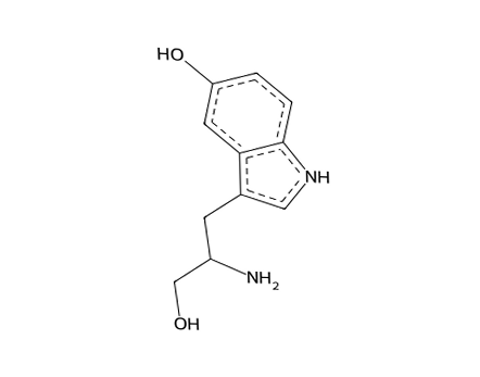 NC(CO)Cc1c[nH]c2ccc(O)cc12